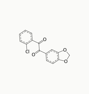 O=C(C(=O)c1ccccc1Cl)c1ccc2c(c1)OCO2